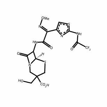 CON=C(C(=O)NC1C(=O)N2CC(CO)(C(=O)O)CS[C@H]12)c1csc(NC(=O)C(F)(F)F)n1